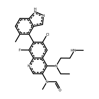 CCN(CCNC)c1c(N(C)C=O)cnc2c(F)c(-c3c(C)ccc4[nH]ncc34)c(Cl)cc12